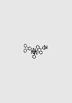 C1=CCC2C(=C1)c1cc(-c3nc(-c4ccccc4)nc(-c4c5ccccc5c(-c5ccncc5)c5ccccc45)n3)ccc1-c1ccccc12